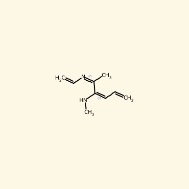 C=C/C=C(NC)\C(C)=N/C=C